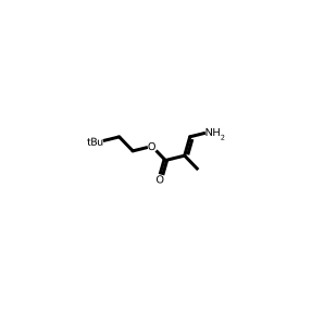 CC(=CN)C(=O)OCCC(C)(C)C